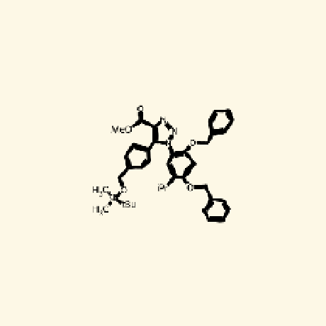 COC(=O)c1nnn(-c2cc(C(C)C)c(OCc3ccccc3)cc2OCc2ccccc2)c1-c1ccc(CO[Si](C)(C)C(C)(C)C)cc1